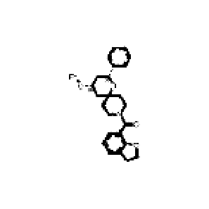 CCO[C@@H]1C[C@H](c2ccccc2)OC2(CCN(C(=O)c3cccc4c3OCC4)CC2)C1